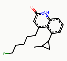 CC1CC1c1cccc2[nH]c(=O)cc(CCCCCF)c12